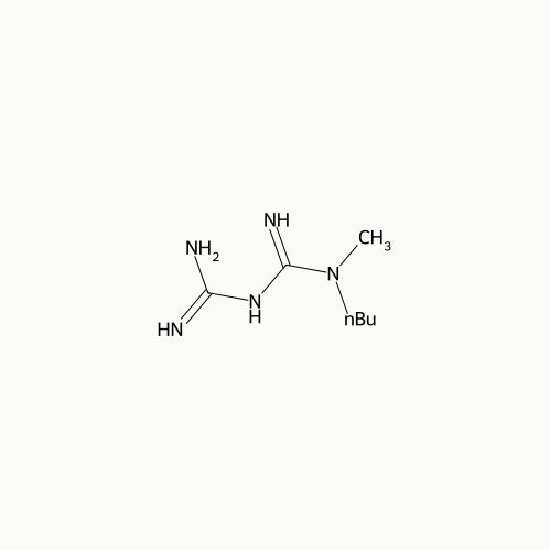 CCCCN(C)C(=N)NC(=N)N